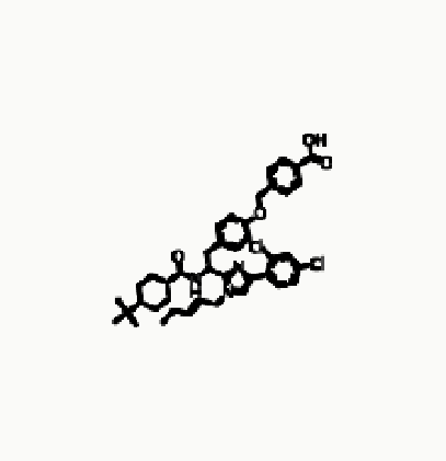 CC/C=C/Cn1cc(-c2ccc(Cl)cc2Cl)nc1[C@H](Cc1ccc(OCc2ccc(C(=O)O)cc2)cc1)NC(=O)C1CCC(C(C)(C)C)CC1